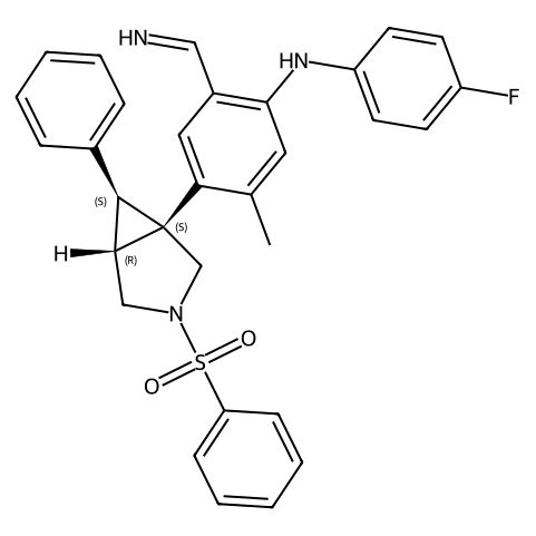 Cc1cc(Nc2ccc(F)cc2)c(C=N)cc1[C@@]12CN(S(=O)(=O)c3ccccc3)C[C@@H]1[C@H]2c1ccccc1